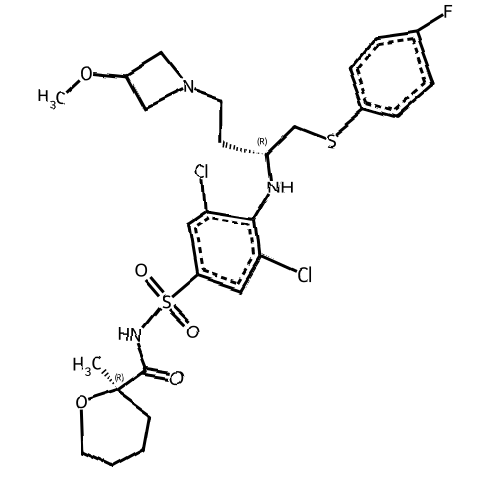 COC1CN(CC[C@H](CSc2ccc(F)cc2)Nc2c(Cl)cc(S(=O)(=O)NC(=O)[C@@]3(C)CCCCO3)cc2Cl)C1